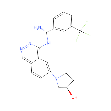 Cc1c([C@@H](N)Nc2nncc3ccc(N4CC[C@@H](O)C4)cc23)cccc1C(F)(F)F